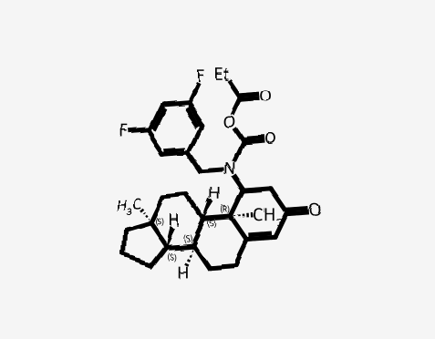 CCC(=O)OC(=O)N(Cc1cc(F)cc(F)c1)C1CC(=O)C=C2CC[C@H]3[C@@H]4CCC[C@@]4(C)CC[C@@H]3[C@]21C